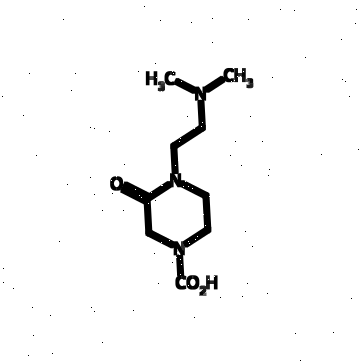 CN(C)CCN1CCN(C(=O)O)CC1=O